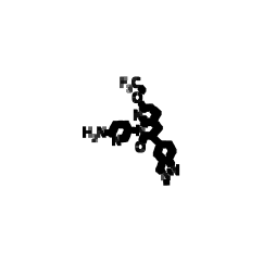 Cn1cc2cc(-c3cc4ccc(OCC(F)(F)F)nc4n(-c4ccc(N)nc4)c3=O)ccc2n1